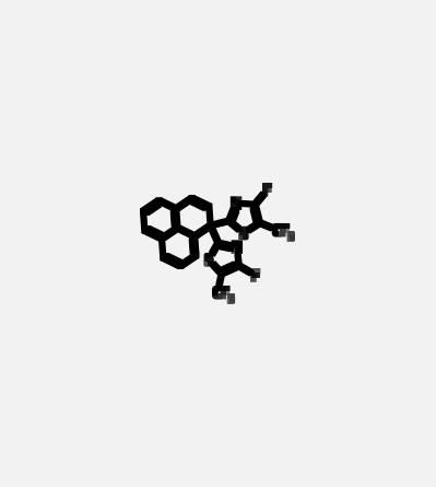 Fc1nc(C2(c3nc(F)c(C(F)(F)F)s3)C=Cc3cccc4cccc2c34)sc1C(F)(F)F